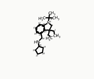 CCC1(CC)CN(C(C)(C)C)c2cccc(CNC3CCCC3)c21